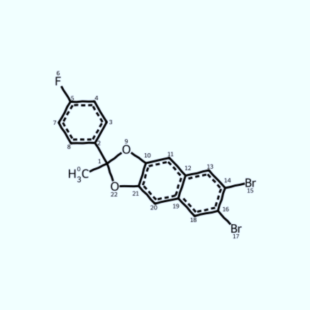 CC1(c2ccc(F)cc2)Oc2cc3cc(Br)c(Br)cc3cc2O1